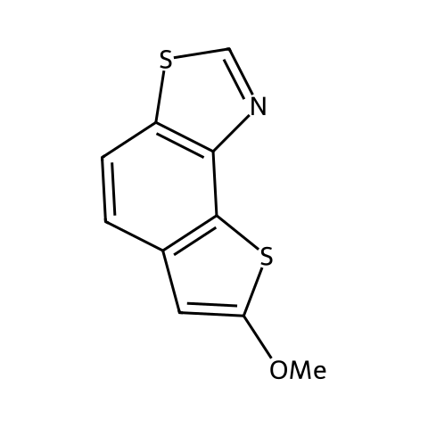 COc1cc2ccc3scnc3c2s1